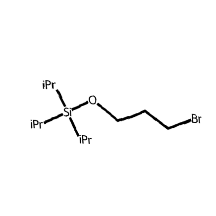 CC(C)[Si](OCCCBr)(C(C)C)C(C)C